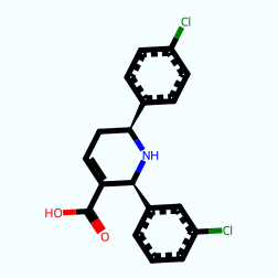 O=C(O)C1=CC[C@@H](c2ccc(Cl)cc2)N[C@H]1c1cccc(Cl)c1